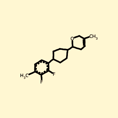 CC1=CCC(C2CCC(c3ccc(C)c(F)c3F)CC2)OC1